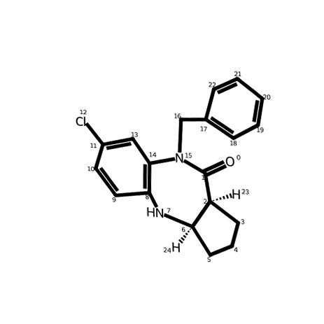 O=C1[C@H]2CCC[C@H]2Nc2ccc(Cl)cc2N1Cc1ccccc1